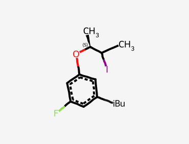 CCC(C)c1cc(F)cc(O[C@@H](C)C(C)I)c1